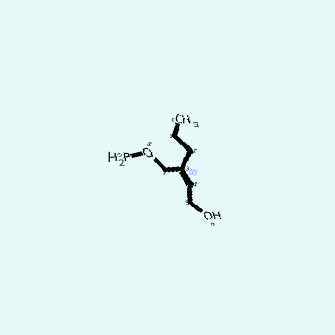 CCC/C(=C/CO)COP